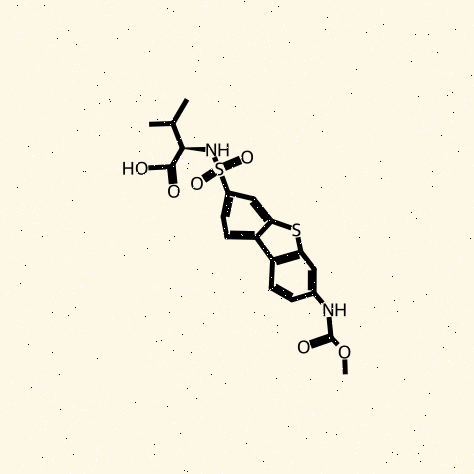 COC(=O)Nc1ccc2c(c1)sc1cc(S(=O)(=O)N[C@@H](C(=O)O)C(C)C)ccc12